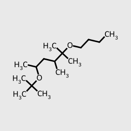 CCCCOC(C)(C)C(C)CC(C)OC(C)(C)C